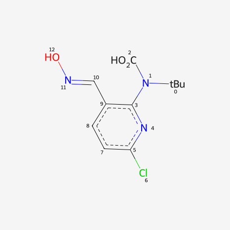 CC(C)(C)N(C(=O)O)c1nc(Cl)ccc1C=NO